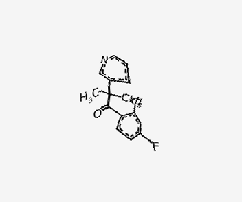 CC(C)(C(=O)c1ccc(F)cc1Cl)c1cccnc1